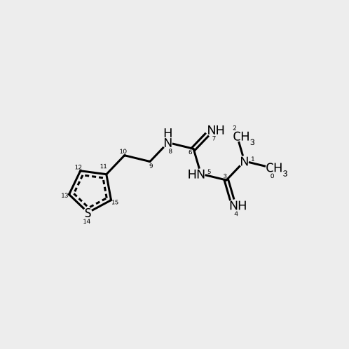 CN(C)C(=N)NC(=N)NCCc1ccsc1